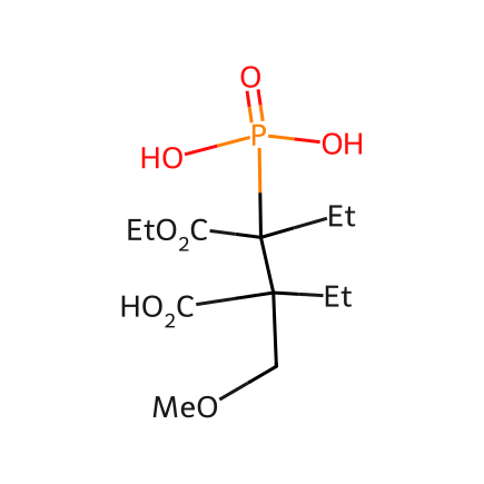 CCOC(=O)C(CC)(C(CC)(COC)C(=O)O)P(=O)(O)O